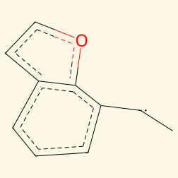 C[CH]c1cccc2ccoc12